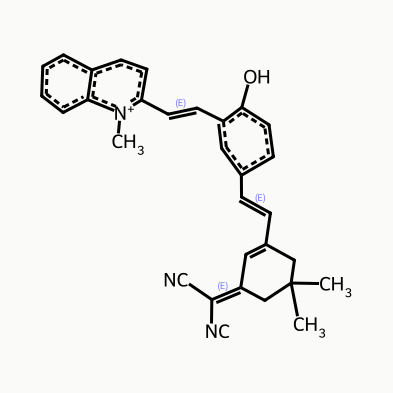 [C-]#[N+]/C(C#N)=C1C=C(/C=C/c2ccc(O)c(/C=C/c3ccc4ccccc4[n+]3C)c2)CC(C)(C)C/1